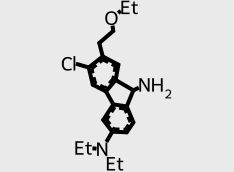 CCOCCc1cc2c(cc1Cl)-c1cc(N(CC)CC)ccc1C2N